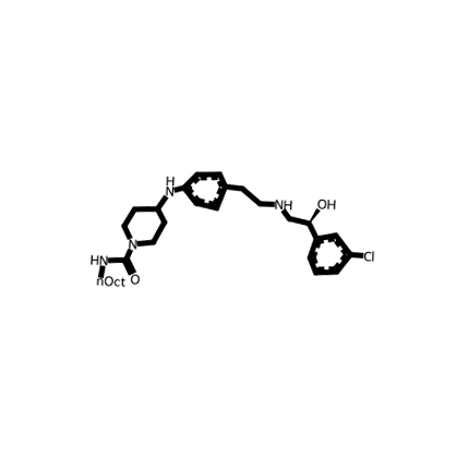 CCCCCCCCNC(=O)N1CCC(Nc2ccc(CCNC[C@@H](O)c3cccc(Cl)c3)cc2)CC1